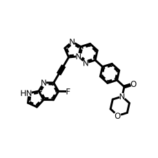 O=C(c1ccc(-c2ccc3ncc(C#Cc4nc5[nH]ccc5cc4F)n3n2)cc1)N1CCOCC1